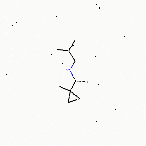 CC(C)CN[C@H](C)C1(C)CC1